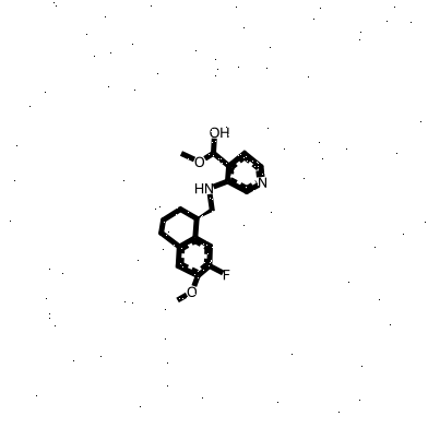 COc1cc2c(cc1F)[C@H](CNc1cnccc1C(O)OC)CCC2